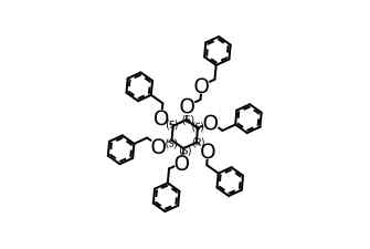 c1ccc(COCO[C@@H]2[C@@H](OCc3ccccc3)[C@H](OCc3ccccc3)[C@@H](OCc3ccccc3)[C@H](OCc3ccccc3)[C@@H]2OCc2ccccc2)cc1